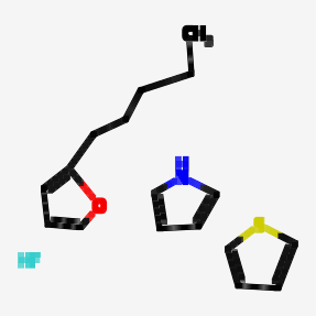 CCCCCc1ccco1.F.c1cc[nH]c1.c1ccsc1